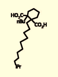 CCCCC1(C(=O)O)CCCCC1(CCCCCCCCCC(C)C)C(=O)O